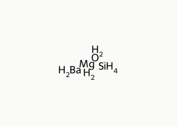 O.[BaH2].[MgH2].[SiH4]